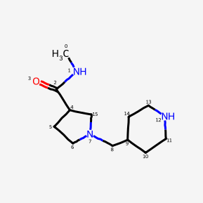 CNC(=O)C1CCN(CC2CCNCC2)C1